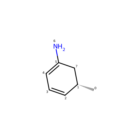 C[C@@H]1C=CC=C(N)C1